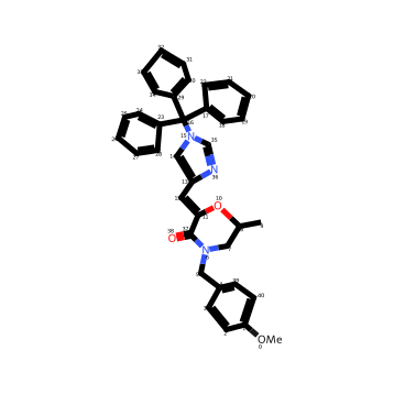 COc1ccc(CN2CC(C)OC(=Cc3cn(C(c4ccccc4)(c4ccccc4)c4ccccc4)cn3)C2=O)cc1